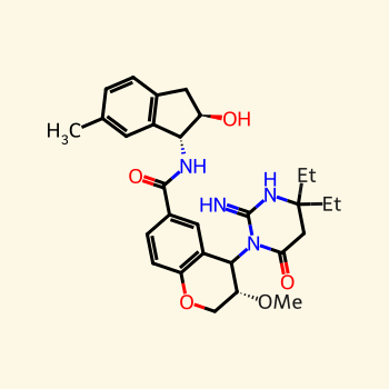 CCC1(CC)CC(=O)N(C2c3cc(C(=O)N[C@@H]4c5cc(C)ccc5C[C@H]4O)ccc3OC[C@H]2OC)C(=N)N1